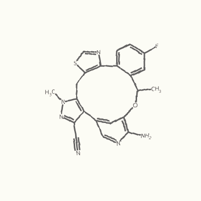 CC1Oc2cc(cnc2N)-c2c(C#N)nn(C)c2Cc2scnc2-c2ccc(F)cc21